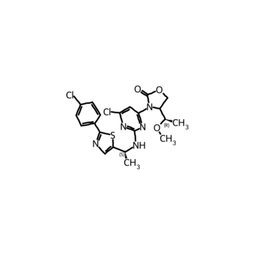 CO[C@H](C)C1COC(=O)N1c1cc(Cl)nc(N[C@@H](C)c2cnc(-c3ccc(Cl)cc3)s2)n1